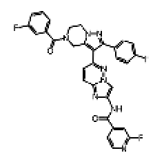 O=C(Nc1cn2nc(-c3c(-c4ccc(F)cc4)nn4c3CN(C(=O)c3cccc(F)c3)CC4)ccc2n1)c1ccnc(F)c1